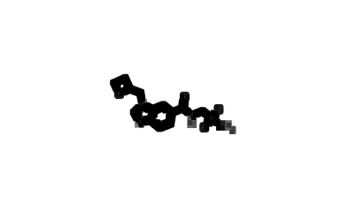 NS(=O)(=O)CNC(=O)c1ccc2ncn(CC3CCO3)c2c1